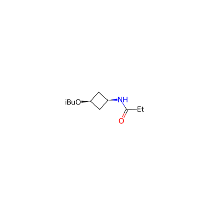 CCC(=O)N[C@H]1C[C@@H](OCC(C)C)C1